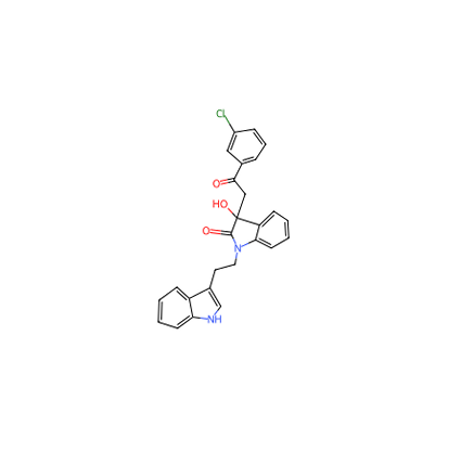 O=C(CC1(O)C(=O)N(CCc2c[nH]c3ccccc23)c2ccccc21)c1cccc(Cl)c1